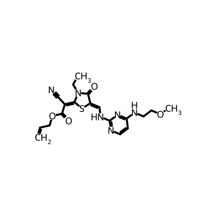 C=CCOC(=O)C(C#N)=c1sc(=CNc2nccc(NCCOC)n2)c(=O)n1CC